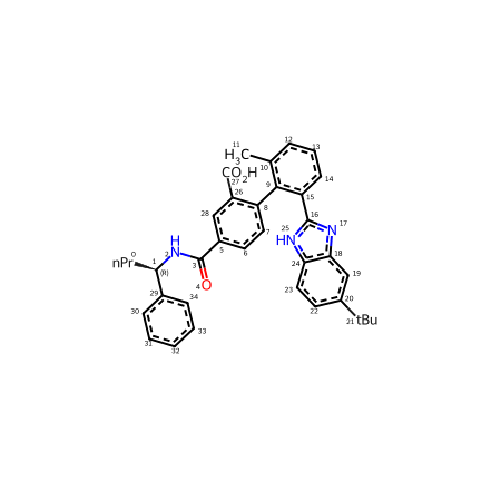 CCC[C@@H](NC(=O)c1ccc(-c2c(C)cccc2-c2nc3cc(C(C)(C)C)ccc3[nH]2)c(C(=O)O)c1)c1ccccc1